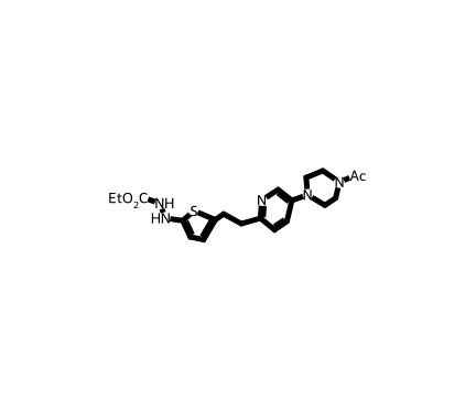 CCOC(=O)NNc1ccc(CCc2ccc(N3CCN(C(C)=O)CC3)cn2)s1